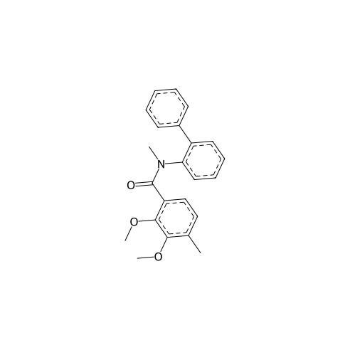 COc1c(C)ccc(C(=O)N(C)c2ccccc2-c2ccccc2)c1OC